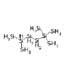 [SiH3][SiH]([SiH3])[SiH2][SiH2][Si]([SiH3])([SiH3])[SiH3]